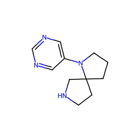 c1ncc(N2CCCC23CCNC3)cn1